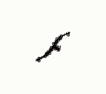 C=CC(=O)CCCCCCOc1ccc(OC(=O)[C@H]2CC[C@H](C(=O)Oc3ccc(OC(=O)[C@H]4CC[C@H](C(=O)Oc5ccc(OCCCCCCOC(=O)C=C)cc5)CC4)c4c3NC(c3cccs3)S4)CC2)cc1